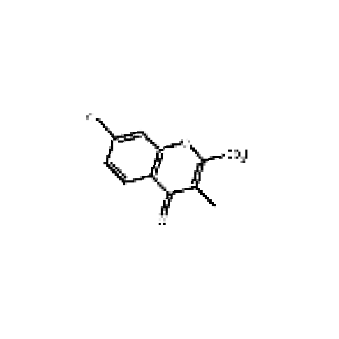 Cc1c(C(=O)O)oc2cc(Cl)ccc2c1=O